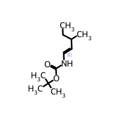 CCC(C)/C=C/NC(=O)OC(C)(C)C